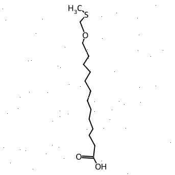 CSCOCCCCCCCCCCCCC(=O)O